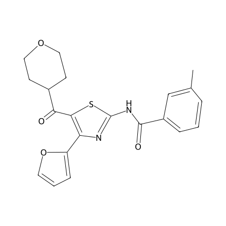 Cc1cccc(C(=O)Nc2nc(-c3ccco3)c(C(=O)C3CCOCC3)s2)c1